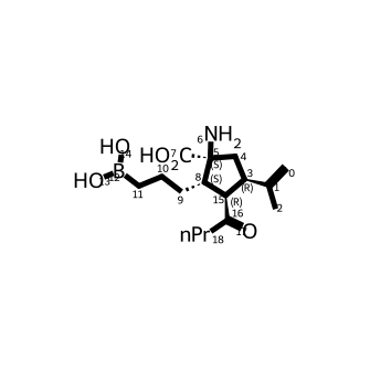 C=C(C)[C@@H]1C[C@@](N)(C(=O)O)[C@@H](CCCB(O)O)[C@@H]1C(=O)CCC